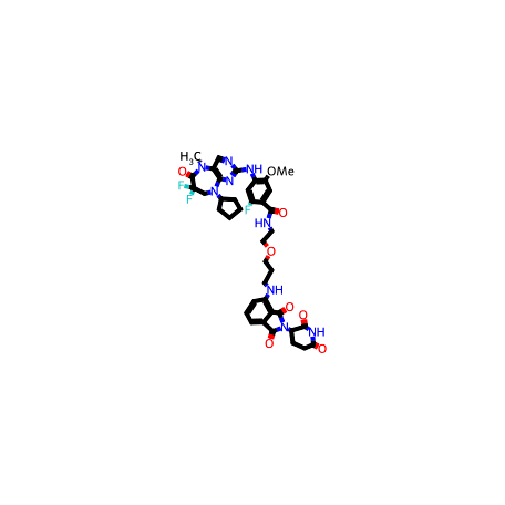 COc1cc(C(=O)NCCOCCCNc2cccc3c2C(=O)N(C2CCC(=O)NC2=O)C3=O)c(F)cc1Nc1ncc2c(n1)N(C1CCCC1)CC(F)(F)C(=O)N2C